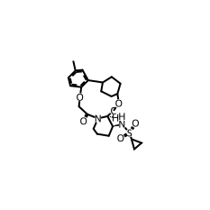 Cc1ccc2c(c1)C1CCC(CC1)OC[C@H]1[C@@H](NS(=O)(=O)C3CC3)CCCN1C(=O)CO2